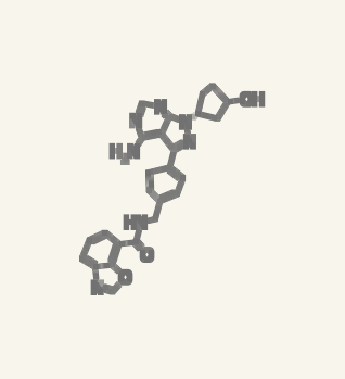 Nc1ncnc2c1c(-c1ccc(CNC(=O)c3cccc4ncoc34)cc1)nn2[C@@H]1CCC(O)C1